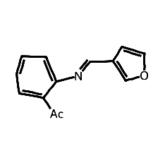 CC(=O)c1ccccc1/N=C/c1ccoc1